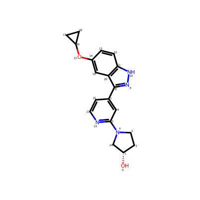 O[C@H]1CCN(c2cc(-c3n[nH]c4ccc(OC5CC5)cc34)ccn2)C1